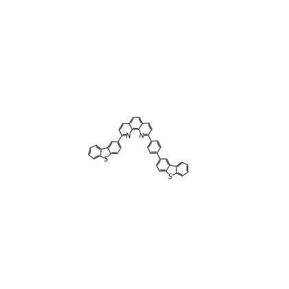 c1ccc2c(c1)sc1ccc(-c3ccc(-c4ccc5ccc6ccc(-c7ccc8sc9ccccc9c8c7)nc6c5n4)cc3)cc12